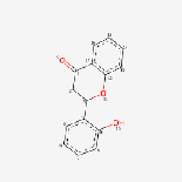 O=C1CC(c2ccccc2O)Oc2ccccc21